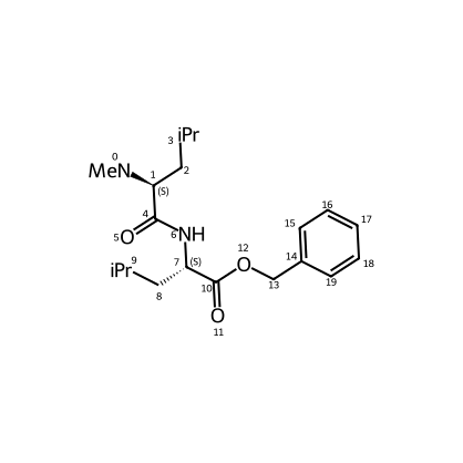 CN[C@@H](CC(C)C)C(=O)N[C@@H](CC(C)C)C(=O)OCc1ccccc1